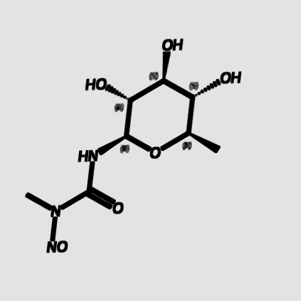 C[C@H]1O[C@@H](NC(=O)N(C)N=O)[C@H](O)[C@@H](O)[C@@H]1O